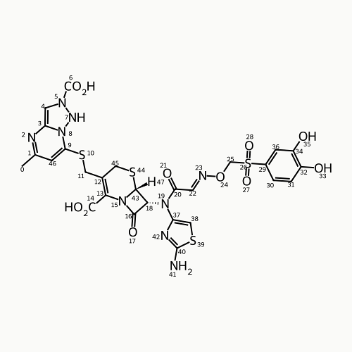 CC1=NC2=CN(C(=O)O)NN2C(SCC2=C(C(=O)O)N3C(=O)[C@@H](N(C(=O)C=NOCS(=O)(=O)c4ccc(O)c(O)c4)c4csc(N)n4)[C@H]3SC2)=C1